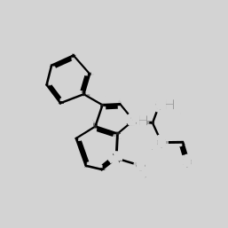 CC(OC=O)[SH]1C=C(c2ccccc2)c2ccc[n+]([O-])c21